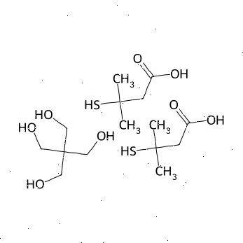 CC(C)(S)CC(=O)O.CC(C)(S)CC(=O)O.OCC(CO)(CO)CO